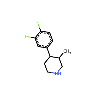 CC1CNCCC1c1ccc(F)c(F)c1